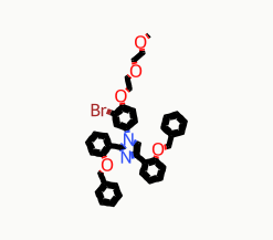 COCCOCCOc1ccc(-n2cc(-c3ccccc3OCc3ccccc3)nc2-c2ccccc2OCc2ccccc2)cc1Br